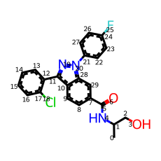 CC(CO)NC(=O)c1ccc2c(-c3ccccc3Cl)nn(-c3ccc(F)cc3)c2c1